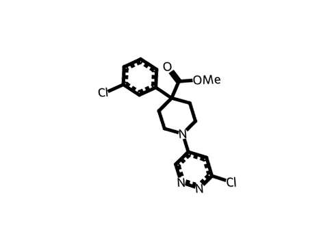 COC(=O)C1(c2cccc(Cl)c2)CCN(c2cnnc(Cl)c2)CC1